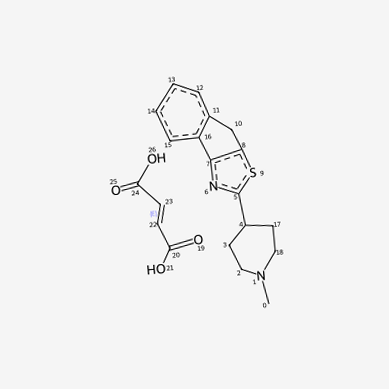 CN1CCC(c2nc3c(s2)Cc2ccccc2-3)CC1.O=C(O)/C=C/C(=O)O